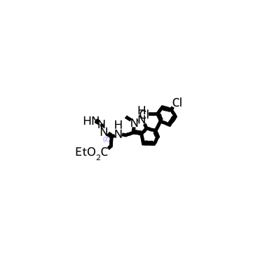 CCOC(=O)C/C(=N/N=N)NCC1=C2C=CC=C(c3ccc(Cl)cc3Cl)C2NN1C